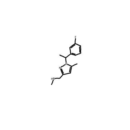 CNCc1cc(C)n(C(C)c2cccc(F)c2)n1